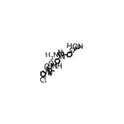 Cc1c(C(=O)Nc2ccc(-c3nc(-c4cccc(OCC(O)CN(C)C)c4)cnc3N)cc2)c(=O)n(-c2cccc(Cl)c2)n1C